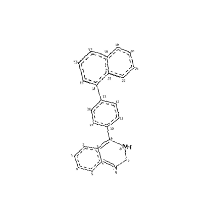 c1ccc2c(c1)=NCNC=2c1ccc(-c2cccc3ccccc23)cc1